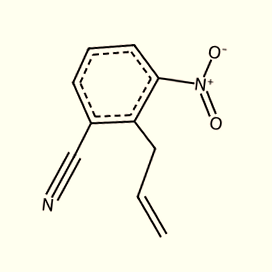 C=CCc1c(C#N)cccc1[N+](=O)[O-]